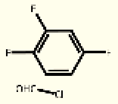 Fc1ccc(F)c(F)c1.O=CCl